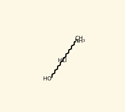 CNCCCCCCCCCCCCCCCCCCO.Cl